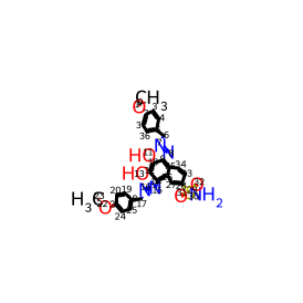 COc1ccc(CN=Nc2c(O)c(O)c(N=NCc3ccc(OC)cc3)c3cc(S(N)(=O)=O)ccc23)cc1